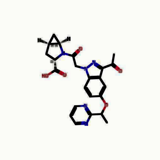 CC(=O)c1nn(CC(=O)N2[C@@H]3C[C@@H]3C[C@H]2C(=O)O)c2ccc(OC(C)c3ncccn3)cc12